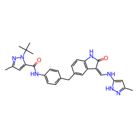 Cc1cc(N/C=C2\C(=O)Nc3ccc(Cc4ccc(NC(=O)c5cc(C)nn5C(C)(C)C)cc4)cc32)[nH]n1